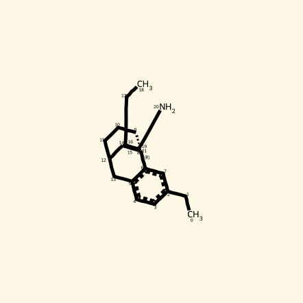 CCc1ccc2c(c1)[C@@]13CCCC(C2)C1CC(CC)C(N)C3